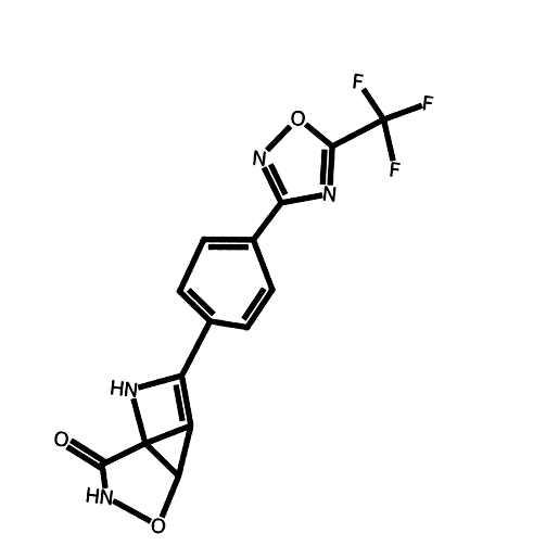 O=C1NOC2C3=C(c4ccc(-c5noc(C(F)(F)F)n5)cc4)NC132